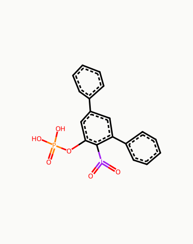 O=I(=O)c1c(OP(=O)(O)O)cc(-c2ccccc2)cc1-c1ccccc1